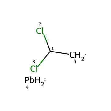 [CH2]C(Cl)Cl.[PbH2]